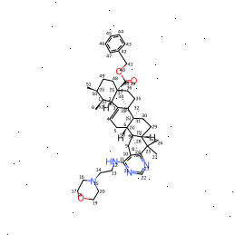 C[C@@H]1[C@H]2C3=CC[C@H]4[C@]5(C)Cc6c(NCCN7CCOCC7)ncnc6C(C)(C)[C@H]5CC[C@]4(C)[C@]3(C)CC[C@@]2(C(=O)OCc2ccccc2)CC[C@@H]1C